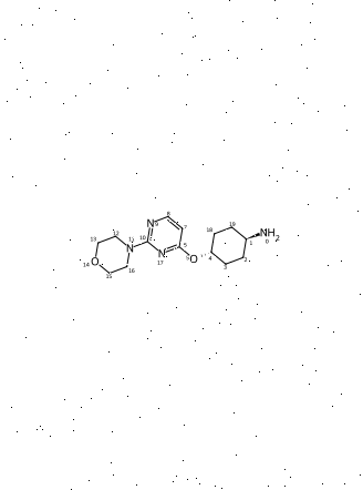 N[C@H]1CC[C@H](Oc2ccnc(N3CCOCC3)n2)CC1